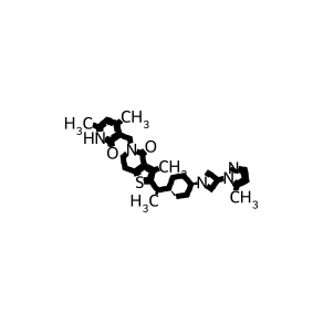 Cc1cc(C)c(CN2CCc3sc([C@H](C)[C@H]4CC[C@H](N5CC(n6nccc6C)C5)CC4)c(C)c3C2=O)c(=O)[nH]1